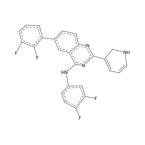 Fc1ccc(Nc2nc(C3=CC=CNC3)nc3ccc(-c4cccc(F)c4F)cc23)cc1F